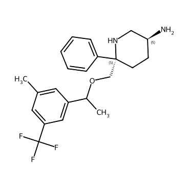 Cc1cc(C(C)OC[C@@]2(c3ccccc3)CC[C@H](N)CN2)cc(C(F)(F)F)c1